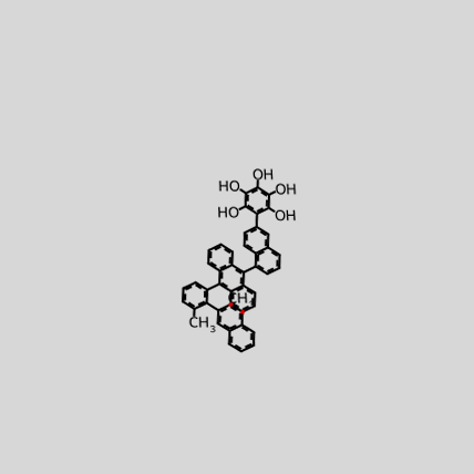 Cc1cc2ccccc2cc1-c1c(C)cccc1-c1c2ccccc2c(-c2cccc3cc(-c4c(O)c(O)c(O)c(O)c4O)ccc23)c2ccccc12